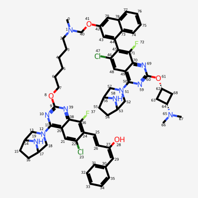 CN(CCCCCCOc1nc(N2CC3CCC(C2)N3)c2cc(Cl)c(/C=C/C(O)=C\c3ccccc3)c(F)c2n1)COc1cc(-c2c(Cl)cc3c(N4CC5CCC(C4)N5)nc(O[C@H]4C[C@@H](N(C)C)C4)nc3c2F)c2ccccc2c1